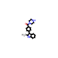 CC1=Nc2ccccc2C1c1ccc(C(=O)N2CCNCC2)cc1